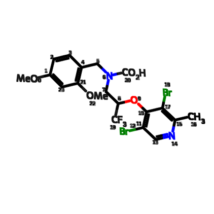 COc1ccc(CN(CC(Oc2c(Br)cnc(C)c2Br)C(F)(F)F)C(=O)O)c(OC)c1